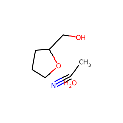 CC#N.O.OCC1CCCO1